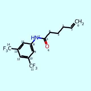 C=CCCCC(=O)Nc1cc(C(F)(F)F)cc(C(F)(F)F)c1